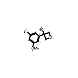 COc1cc(Br)cc(C2(O)COC2)c1